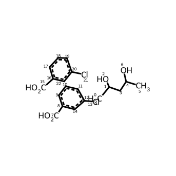 CC(O)CC(C)O.O=C(O)c1cccc(Cl)c1.O=C(O)c1cccc(Cl)c1